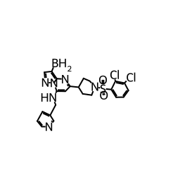 Bc1cnn2c(NCc3cccnc3)cc(C3CCN(S(=O)(=O)c4cccc(Cl)c4Cl)CC3)nc12